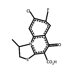 CC1CSc2c(C(=O)O)c(=O)c3cc(F)c(Cl)cc3n21